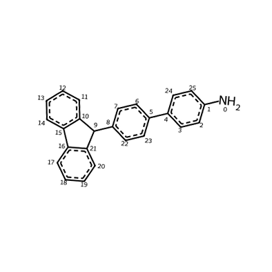 Nc1ccc(-c2ccc(C3c4ccccc4-c4ccccc43)cc2)cc1